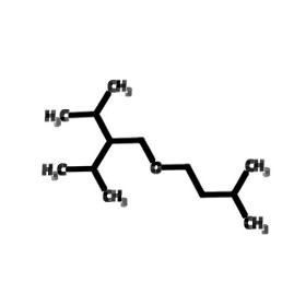 CC(C)CCOCC(C(C)C)C(C)C